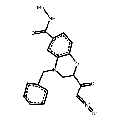 CC(C)(C)NC(=O)c1ccc2c(c1)N(Cc1ccccc1)CC(C(=O)C=[N+]=[N-])O2